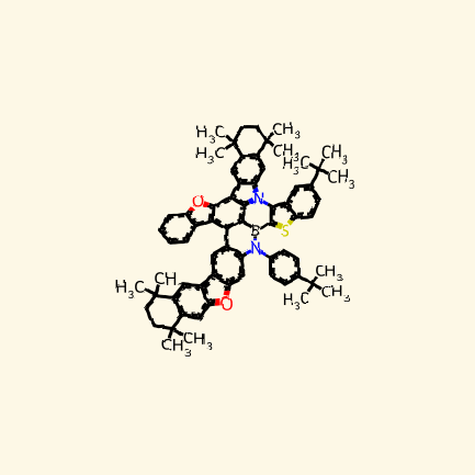 CC(C)(C)c1ccc(N2B3c4sc5ccc(C(C)(C)C)cc5c4-n4c5cc6c(cc5c5c7oc8ccccc8c7c(c3c54)-c3cc4c(cc32)oc2cc3c(cc24)C(C)(C)CCC3(C)C)C(C)(C)CCC6(C)C)cc1